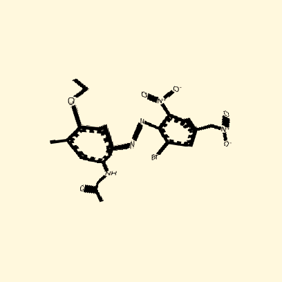 CCOc1cc(N=Nc2c(Br)cc([N+](=O)[O-])cc2[N+](=O)[O-])c(NC(C)=O)cc1C